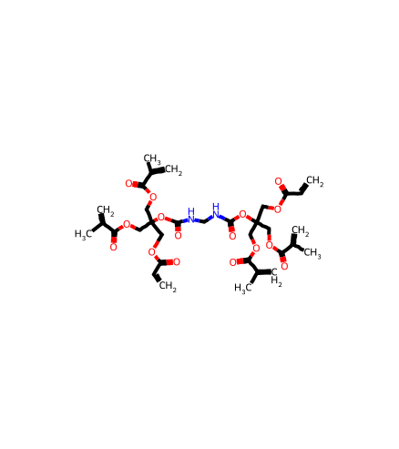 C=CC(=O)OCC(COC(=O)C(=C)C)(COC(=O)C(=C)C)OC(=O)NCNC(=O)OC(COC(=O)C=C)(COC(=O)C(=C)C)COC(=O)C(=C)C